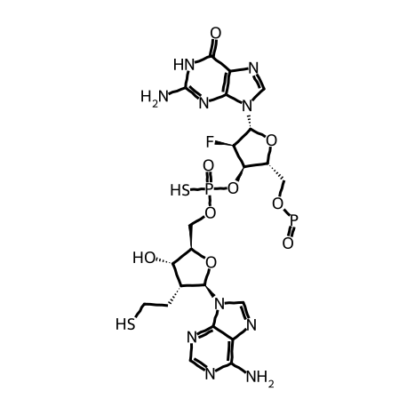 Nc1nc2c(ncn2[C@@H]2O[C@H](COP=O)[C@@H](OP(=O)(S)OC[C@H]3O[C@@H](n4cnc5c(N)ncnc54)[C@H](CCS)[C@@H]3O)[C@H]2F)c(=O)[nH]1